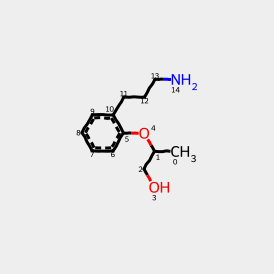 CC(CO)Oc1ccccc1CCCN